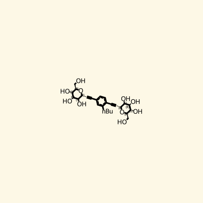 CCCCc1cc(C#C[C@H]2O[C@H](CO)[C@@H](O)[C@H](O)[C@@H]2O)ccc1C#C[C@H]1O[C@H](CO)[C@@H](O)[C@H](O)[C@@H]1O